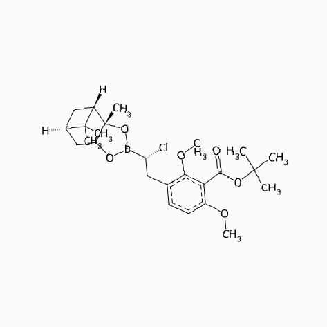 COc1ccc(C[C@@H](Cl)B2OC3C[C@H]4C[C@@H](C4(C)C)[C@]3(C)O2)c(OC)c1C(=O)OC(C)(C)C